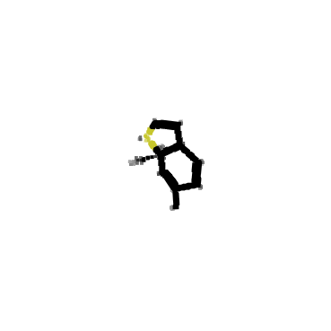 CC1=C[C@H]2SC=CC2C=C1